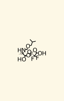 CC(C)COC(=O)N[C@@H](C)C(=O)O.O=C(O)C(F)(F)F